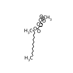 CCCCCCCCCCCCC(C)OC(=O)c1ccc(OS(C)(=O)=O)o1